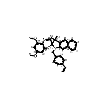 C=Cc1ccc(CN2c3cc4ccccc4cc3C(C)(C)C23C=Nc2c(OC)cc(OC)cc2O3)cc1